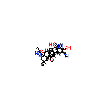 Cc1nnc([C@]23CCC(C)(C)C[C@H]2[C@H]2C(=O)C=C4[C@@](C)(CC[C@@]5(NO)C(C)(C)C(O)=C(C#N)C[C@]45C)[C@]2(C)CC3)o1